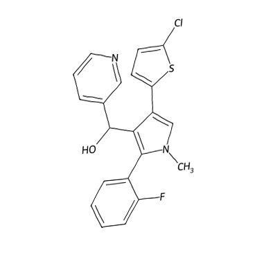 Cn1cc(-c2ccc(Cl)s2)c(C(O)c2cccnc2)c1-c1ccccc1F